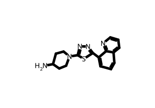 NC1CCN(c2nnc(-c3cccc4cccnc34)s2)CC1